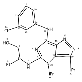 CCC(CO)Nc1nc(Nc2cccc(Cl)c2)c2nnc(C(C)C)c-2n1C(C)C